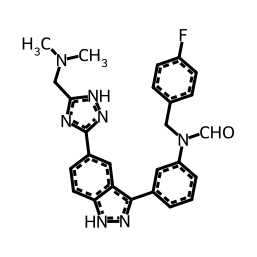 CN(C)Cc1nc(-c2ccc3[nH]nc(-c4cccc(N(C=O)Cc5ccc(F)cc5)c4)c3c2)n[nH]1